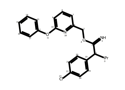 CC(C)C(C(=N)OCc1cccc(Oc2ccccc2)n1)c1ccc(Cl)cc1